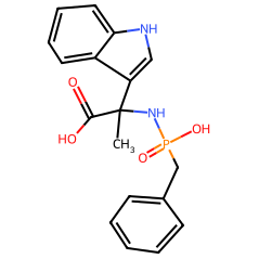 CC(NP(=O)(O)Cc1ccccc1)(C(=O)O)c1c[nH]c2ccccc12